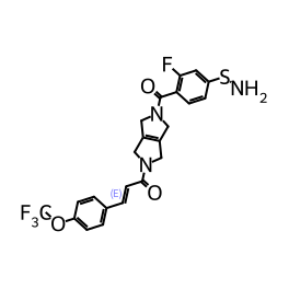 NSc1ccc(C(=O)N2CC3=C(CN(C(=O)/C=C/c4ccc(OC(F)(F)F)cc4)C3)C2)c(F)c1